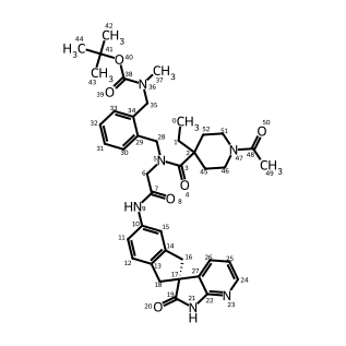 CCC1(C(=O)N(CC(=O)Nc2ccc3c(c2)C[C@@]2(C3)C(=O)Nc3ncccc32)Cc2ccccc2CN(C)C(=O)OC(C)(C)C)CCN(C(C)=O)CC1